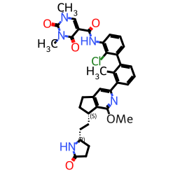 COc1nc(-c2cccc(-c3cccc(NC(=O)c4cn(C)c(=O)n(C)c4=O)c3Cl)c2C)cc2c1[C@H](CC[C@@H]1CCC(=O)N1)CC2